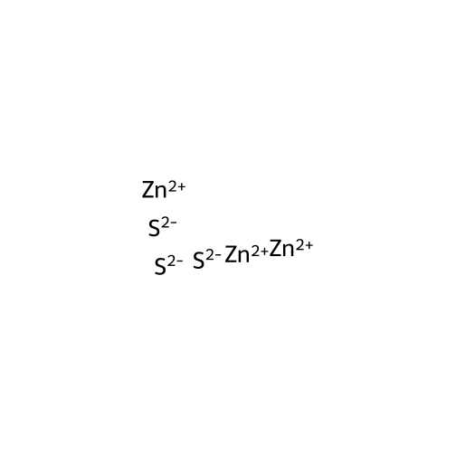 [S-2].[S-2].[S-2].[Zn+2].[Zn+2].[Zn+2]